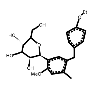 CCOc1ccc(Cc2cc([C@@H]3OC(CO)[C@@H](O)C(O)[C@@H]3O)c(OC)cc2C)cc1